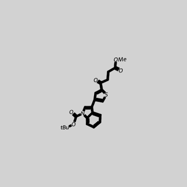 COC(=O)CCC(=O)c1cc(-c2cn(C(=O)OC(C)(C)C)c3ccccc23)cs1